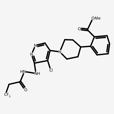 COC(=O)c1ccccc1C1CCN(c2cnnc(NNC(=O)CC(F)(F)F)c2Cl)CC1